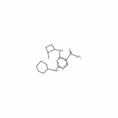 CC1CCC1Nc1nc(NC2CCCCC2)ncc1C(N)=O